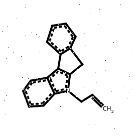 C=CCn1c2c(c3ccccc31)-c1ccccc1C2